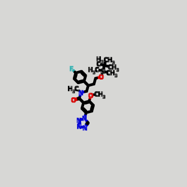 COc1ccc(-n2cnnn2)cc1C(=O)N(C)CC(CCO[Si](C)(C)C(C)(C)C)c1ccc(F)cc1